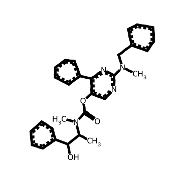 CC(C(O)c1ccccc1)N(C)C(=O)Oc1cnc(N(C)Cc2ccccc2)nc1-c1ccccc1